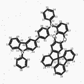 C1=CC2c3cc4c(cc3C3(c5ccccc5-c5ccccc53)C2C=C1)Oc1cccc(N(c2ccccc2)c2ccc(-c3ccc5c(c3)c3ccccc3n5-c3ccccc3)cc2)c1O4